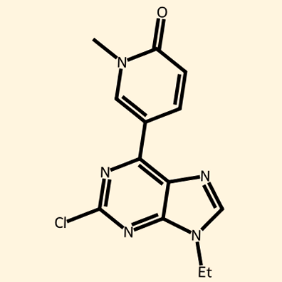 CCn1cnc2c(-c3ccc(=O)n(C)c3)nc(Cl)nc21